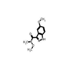 COc1ccc2[nH]nc(C(=O)N(C)OC)c2c1